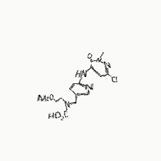 COCCN(Cc1ccc(Nc2cc(Cl)nn(C)c2=O)nc1)C(=O)O